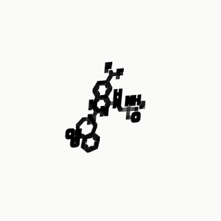 NC1(CNc2nc(N3CCS(=O)(=O)c4ccccc4C3)nc3ccc(C(F)F)cc23)COC1